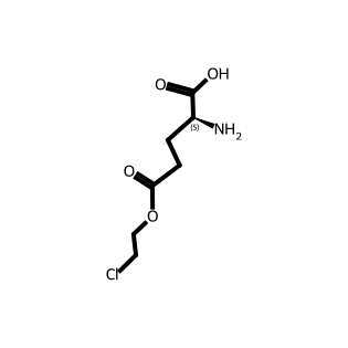 N[C@@H](CCC(=O)OCCCl)C(=O)O